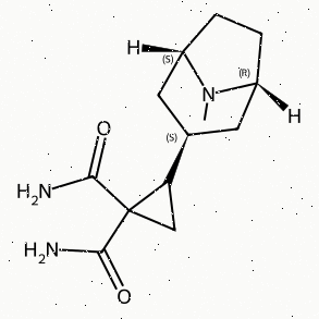 CN1[C@@H]2CC[C@H]1C[C@H](C1CC1(C(N)=O)C(N)=O)C2